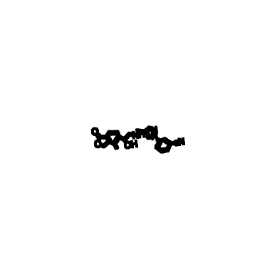 Cc1c(C(O)CNCc2cnn(-c3cccc(C#N)c3)c2)ccc2c1COC2=O